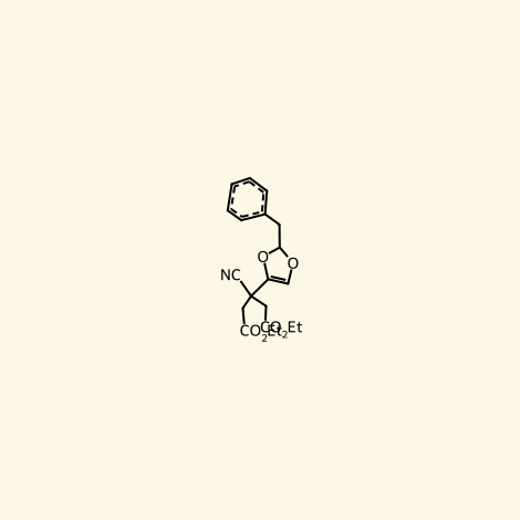 CCOC(=O)CC(C#N)(CC(=O)OCC)C1=COC(Cc2ccccc2)O1